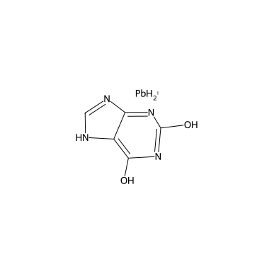 Oc1nc(O)c2[nH]cnc2n1.[PbH2]